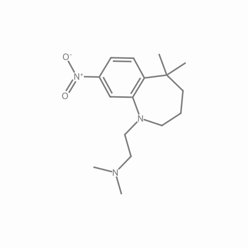 CN(C)CCN1CCCC(C)(C)c2ccc([N+](=O)[O-])cc21